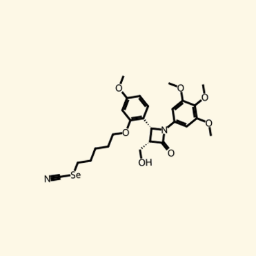 COc1ccc([C@H]2[C@@H](CO)C(=O)N2c2cc(OC)c(OC)c(OC)c2)c(OCCCCC[Se]C#N)c1